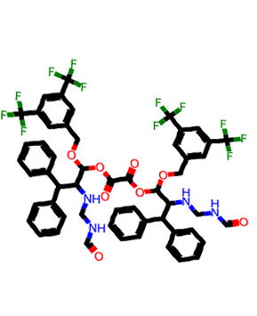 O=CNCNC(C(OCc1cc(C(F)(F)F)cc(C(F)(F)F)c1)OC(=O)C(=O)OC(OCc1cc(C(F)(F)F)cc(C(F)(F)F)c1)C(NCNC=O)C(c1ccccc1)c1ccccc1)C(c1ccccc1)c1ccccc1